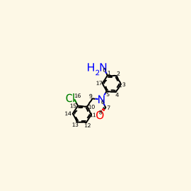 Nc1c[c]cc(N(C=O)Cc2ccccc2Cl)c1